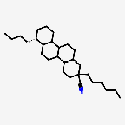 CCCCCC[C@@]1(C#N)CCC2C(CCC3C2CCC2C3CCC[C@H]2CCCC)C1